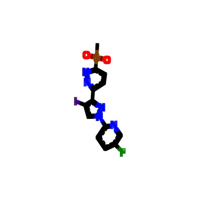 CS(=O)(=O)c1ccc(-c2nn(-c3ccc(F)cn3)cc2I)nn1